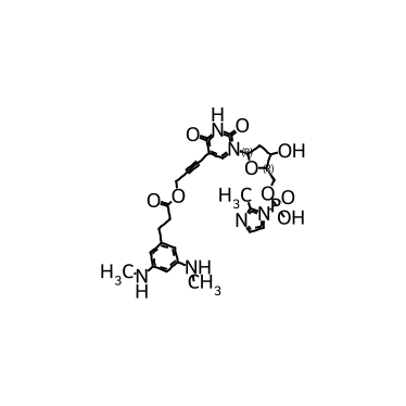 CNc1cc(CCC(=O)OCC#Cc2cn([C@H]3CC(O)[C@@H](COP(=O)(O)n4ccnc4C)O3)c(=O)[nH]c2=O)cc(NC)c1